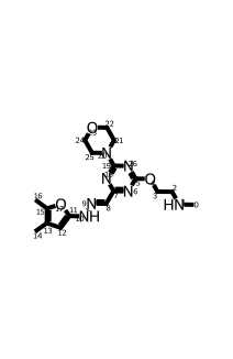 CNCCOc1nc(C=NNc2cc(C)c(C)o2)nc(N2CCOCC2)n1